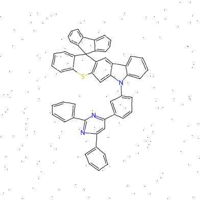 c1ccc(-c2cc(-c3cccc(-n4c5ccccc5c5cc6c(cc54)Sc4ccccc4C64c5ccccc5-c5ccccc54)c3)nc(-c3ccccc3)n2)cc1